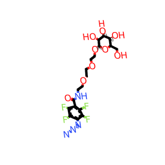 [N-]=[N+]=Nc1c(F)c(F)c(C(=O)NCCOCCOCCO[C@@H]2OC(CO)[C@@H](O)[C@H](O)C2O)c(F)c1F